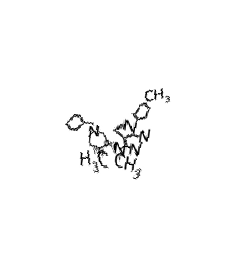 Cc1ccc(-n2ccc3c(N(C)[C@H]4CN(Cc5ccccc5)CC[C@H]4C)ncnc32)cc1